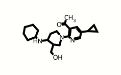 CC(=O)c1cc(C2CC2)cnc1N1CCC(NC2CCCCC2)C(CO)C1